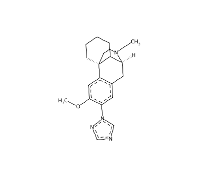 COc1cc2c(cc1-n1cncn1)C[C@H]1C3CCCC[C@@]23CCN1C